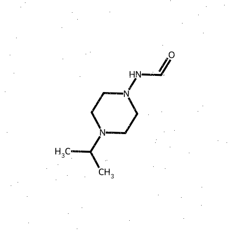 CC(C)N1CCN(N[C]=O)CC1